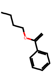 C=C(OCCCC)c1ccccc1